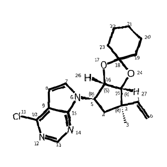 C=C[C@@]1(C)C[C@@H](n2ccc3c(Cl)ncnc32)[C@@H]2OC3(CCCCC3)O[C@@H]21